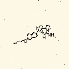 CCCCCOc1ccc2cc(-c3noc(C4CCCN4C(=N)N)n3)ccc2c1